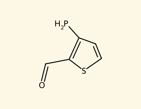 O=Cc1sccc1P